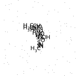 Cc1nnc(SCC2=C(C(=O)O)N3C(=O)C(NC(=O)C(NC(=O)OC(C)(C)C)c4ccccc4)[C@@H]3SC2)s1